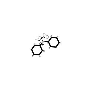 C1CCC(NC2CCCCC2)CC1.O=NO